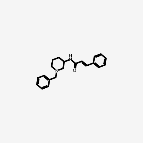 O=C(C=Cc1ccccc1)NC1CCCN(Cc2ccccc2)C1